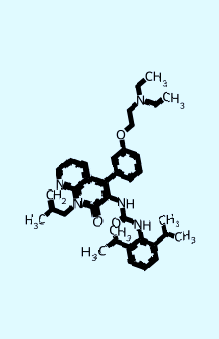 C=C(C)Cn1c(=O)c(NC(=O)Nc2c(C(C)C)cccc2C(C)C)c(-c2cccc(OCCN(CC)CC)c2)c2cccnc21